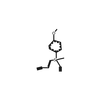 C#CC=C[Si](C)(C#C)c1ccc(OC)cc1